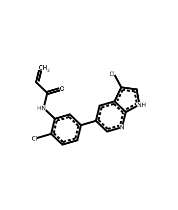 C=CC(=O)Nc1cc(-c2cnc3[nH]cc(Cl)c3c2)ccc1Cl